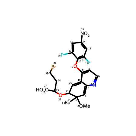 CCCCC1(OC)C=c2nccc(Oc3c(F)cc([N+](=O)[O-])cc3F)c2=CC1OC(CCBr)C(=O)O